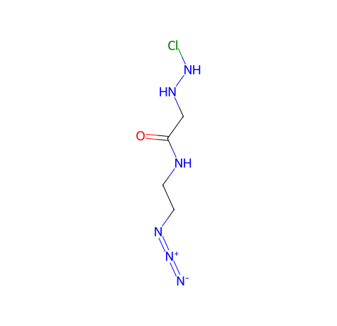 [N-]=[N+]=NCCNC(=O)CNNCl